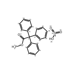 O=C(OP)C(c1ccccc1)(c1ccccc1)c1ccccc1.O=[SH](=O)O